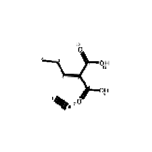 C#C.CCCC(C(=O)O)C(=O)O